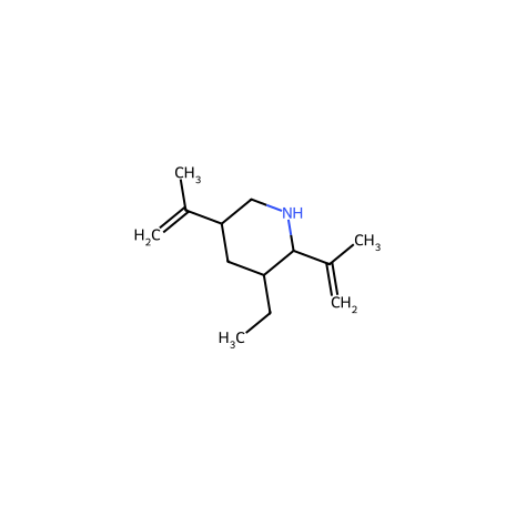 C=C(C)C1CNC(C(=C)C)C(CC)C1